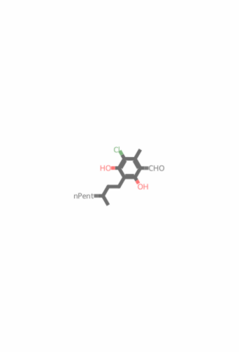 CCCCCC(C)CCc1c(O)c(Cl)c(C)c(C=O)c1O